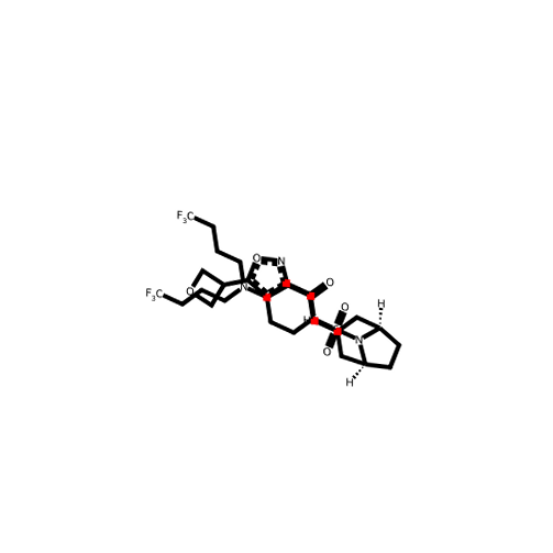 O=C(NC1C[C@H]2CC[C@@H](C1)N2S(=O)(=O)C1CCC(N(CCCC(F)(F)F)CCCC(F)(F)F)CC1)c1cc(C2COC2)on1